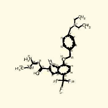 CCN(CC)Cc1ccc(COc2ccc(C(F)(F)F)c3cc(C(=O)N=C(N)NC)[nH]c23)cc1